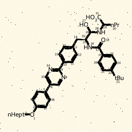 CCCCCCCOc1ccc(-c2cnc(-c3ccc(C[C@H](NC(=O)c4ccc(C(C)(C)C)cc4)C(O)NC(CCC)C(=O)O)cc3)nc2)cc1